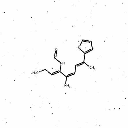 CC/C=C(NC=O)/C(N)=C\C=C(/C)c1cccs1